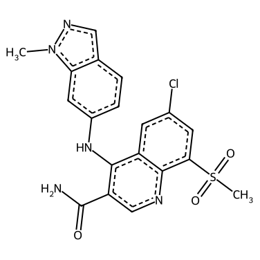 Cn1ncc2ccc(Nc3c(C(N)=O)cnc4c(S(C)(=O)=O)cc(Cl)cc34)cc21